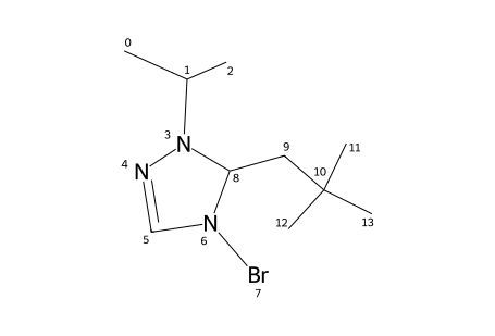 CC(C)N1N=CN(Br)C1CC(C)(C)C